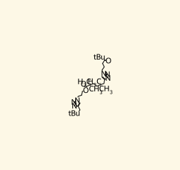 CC(C)(C)Cc1cn(CCCOC(=O)C(C)(C)CCC(C)(C)Cc2cn(CCCC(=O)C(C)(C)C)nn2)nn1